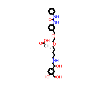 CC(=O)O.O=C(Nc1ccccc1)Nc1cccc(COCCOCCCCCNC[C@H](O)c2ccc(O)c(CO)c2)c1